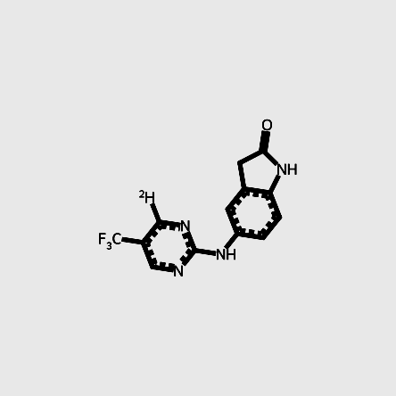 [2H]c1nc(Nc2ccc3c(c2)CC(=O)N3)ncc1C(F)(F)F